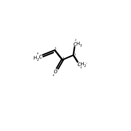 [CH2]C(C)C(=O)C=C